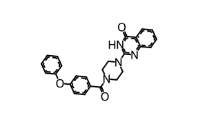 O=C(c1ccc(Oc2ccccc2)cc1)N1CCN(c2nc3ccccc3c(=O)[nH]2)CC1